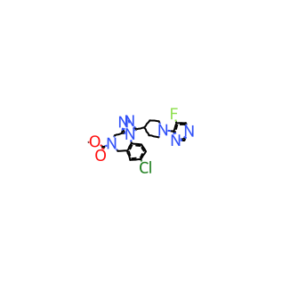 COC(=O)N1Cc2cc(Cl)ccc2-n2c(nnc2C2CCN(c3ncncc3F)CC2)C1